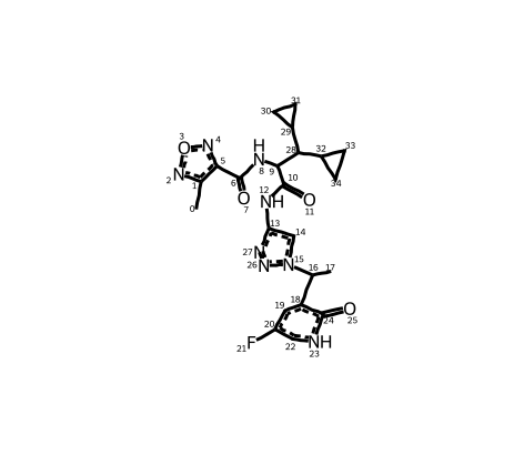 Cc1nonc1C(=O)NC(C(=O)Nc1cn(C(C)c2cc(F)c[nH]c2=O)nn1)C(C1CC1)C1CC1